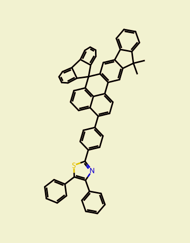 CC1(C)c2ccccc2-c2cc3c(cc21)-c1ccc(-c2ccc(-c4nc(-c5ccccc5)c(-c5ccccc5)s4)cc2)c2cccc(c12)C31c2ccccc2-c2ccccc21